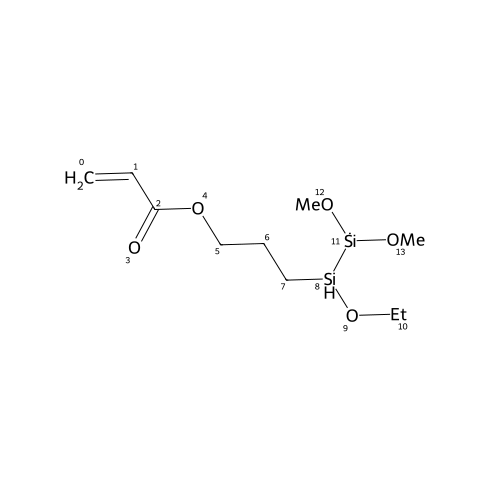 C=CC(=O)OCCC[SiH](OCC)[Si](OC)OC